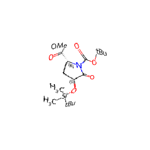 COC(=O)[C@H]1C[C@H](O[Si](C)(C)C(C)(C)C)C(=O)N1C(=O)OC(C)(C)C